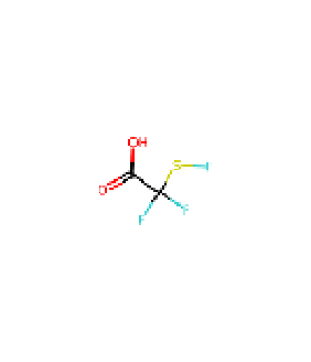 O=C(O)C(F)(F)SF